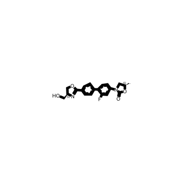 [CH2][C@H]1CN(c2ccc(-c3ccc(C4=N[C@@H](CO)CO4)cc3)c(F)c2)C(=O)O1